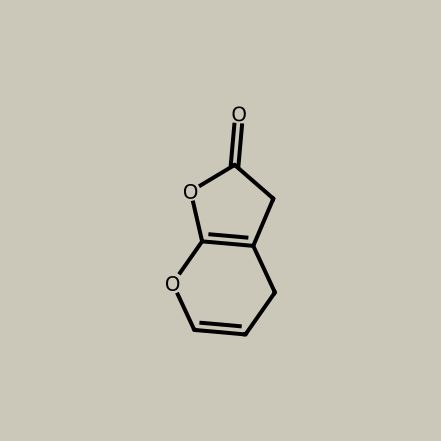 O=C1CC2=C(OC=CC2)O1